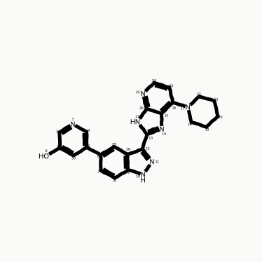 Oc1cncc(-c2ccc3[nH]nc(-c4nc5c(N6CCCCC6)ccnc5[nH]4)c3c2)c1